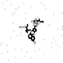 C=CCC(C)C(C)S(=O)(=NC(=O)c1ccc2c(c1)N(CC1CCC1C(C=C)OC)CC1(CCCc3cc(Cl)ccc31)CO2)NC(=O)CC